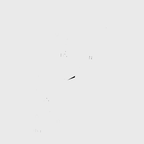 CC(C)(C)OC(=O)N1CCC[C@@H](Cc2nc3ccccc3c(=O)[nH]2)C1